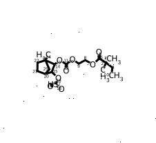 CCC(C)(C)C(=O)OCCOC(=O)OC1C(O[SH](=O)=O)C2CCC1(C)C2